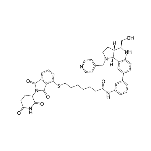 O=C1CCC(N2C(=O)c3cccc(SCCCCCCC(=O)Nc4cccc(-c5ccc6c(c5)[C@H]5[C@H](CCN5Cc5ccncc5)[C@@H](CO)N6)c4)c3C2=O)C(=O)N1